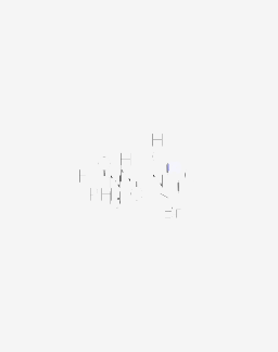 C/C=C1/C(Cl)=CC(Br)=CN1CC(=O)NNC(=O)C(F)P